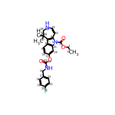 CCOC(=O)n1c2c(c3ccc(OC(=O)NCc4ccc(F)cc4)cc31)C(C)(C)CNC=C2